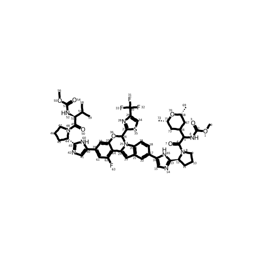 COC(=O)NC(C(=O)N1CCC[C@H]1c1ncc(-c2ccc3c(c2)cc2n3C(c3nc(C(F)(F)F)cs3)Oc3cc(-c4cnc([C@@H]5CCCN5C(=O)[C@@H](NC(=O)OC)C(C)C)[nH]4)cc(F)c3-2)[nH]1)C1C[C@@H](C)O[C@@H](C)C1